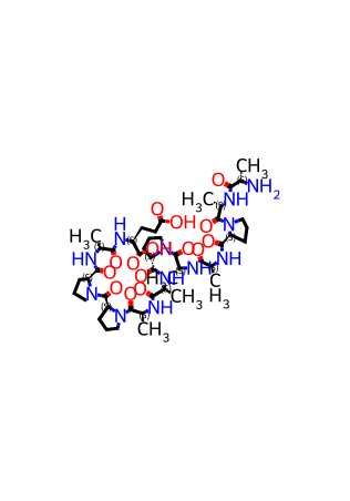 C[C@H](N)C(=O)N[C@@H](C)C(=O)N1CCC[C@H]1C(=O)N[C@@H](C)C(=O)N[C@@H](C)C(=O)N1CCC[C@H]1C(=O)N[C@@H](C)C(=O)N[C@@H](C)C(=O)N1CCC[C@H]1C(=O)N1CCC[C@H]1C(=O)N[C@@H](C)C(=O)N[C@@H](CCC(=O)O)C(=O)O